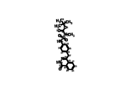 CN(C(=O)OC(C)(C)C)S(=O)(=O)Nc1ccc(Cc2n[nH]c(=O)c3ccccc23)cc1